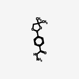 CC1(C)COB(c2ccc(C(=O)NN)cc2)O1